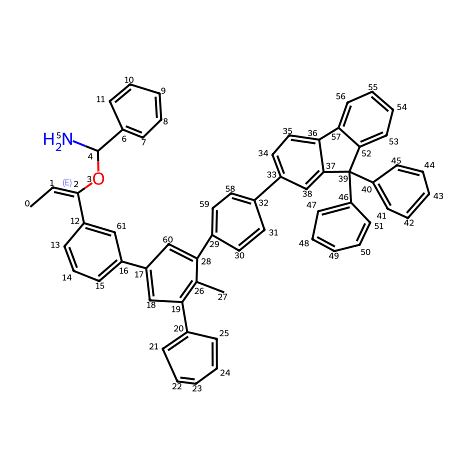 C/C=C(/OC(N)c1ccccc1)c1cccc(-c2cc(-c3ccccc3)c(C)c(-c3ccc(-c4ccc5c(c4)C(c4ccccc4)(c4ccccc4)c4ccccc4-5)cc3)c2)c1